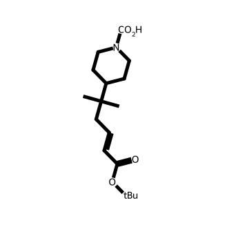 CC(C)(C)OC(=O)/C=C/CC(C)(C)C1CCN(C(=O)O)CC1